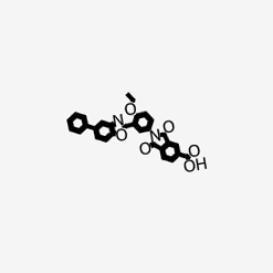 CCOc1ccc(N2C(=O)c3ccc(C(=O)O)cc3C2=O)cc1-c1nc2cc(-c3ccccc3)ccc2o1